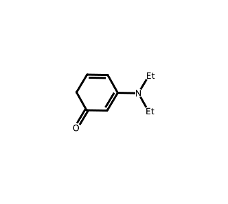 CCN(CC)C1=CC(=O)CC=C1